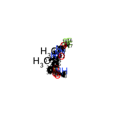 CCCCc1nc(C)n(-c2ncc(OCC(F)(F)F)cn2)c(=O)c1Cc1ccc(-c2ccccc2S(=O)(=O)NC(=O)C2CC2)cc1